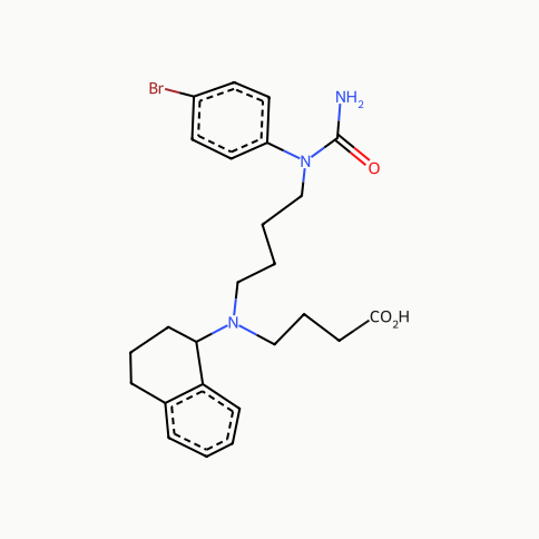 NC(=O)N(CCCCN(CCCC(=O)O)C1CCCc2ccccc21)c1ccc(Br)cc1